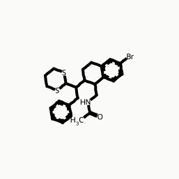 CC(=O)NCC1c2ccc(Br)cc2CCC1C(Cc1ccccc1)C1SCCCS1